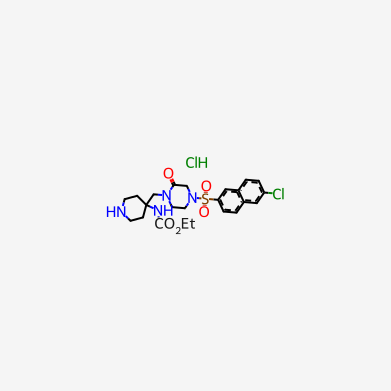 CCOC(=O)NC1(CN2CCN(S(=O)(=O)c3ccc4cc(Cl)ccc4c3)CC2=O)CCNCC1.Cl